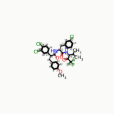 COc1ccc(C[C@H](C(=O)N[C@@H](Cc2cccc(Cl)c2)C(=O)N[C@H](C(=O)C(F)(F)F)C(C)C)c2ccc(Cl)c(Cl)c2)cc1